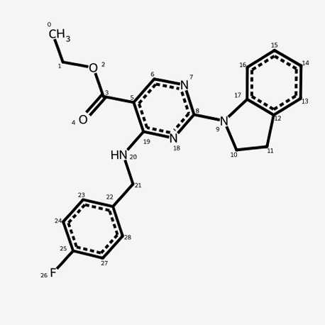 CCOC(=O)c1cnc(N2CCc3ccccc32)nc1NCc1ccc(F)cc1